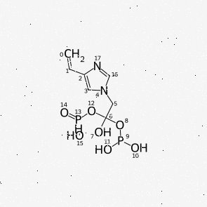 C=Cc1cn(CC(O)(OP(O)O)O[PH](=O)O)cn1